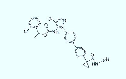 CC(OC(=O)Nc1c(Cl)cnn1-c1ccc(-c2ccc(C3(C(=O)NC#N)CC3)cc2)cc1)c1ccccc1Cl